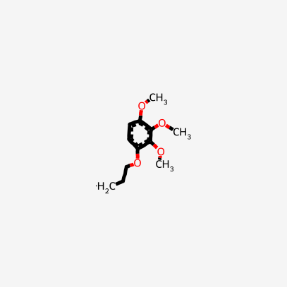 [CH2]CCOc1ccc(OC)c(OC)c1OC